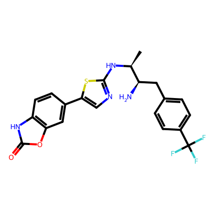 C[C@H](Nc1ncc(-c2ccc3[nH]c(=O)oc3c2)s1)[C@H](N)Cc1ccc(C(F)(F)F)cc1